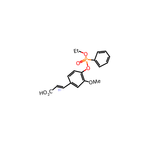 CCOP(=O)(Oc1ccc(/C=C/C(=O)O)cc1OC)c1ccccc1